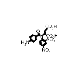 Nc1ccc(C(=O)N(c2ccc([N+](=O)[O-])cc2[N+](=O)[O-])[C@@H](CCC(=O)O)C(=O)O)cc1